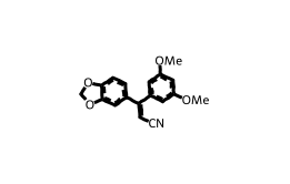 COc1cc(OC)cc(C(=CC#N)c2ccc3c(c2)OCO3)c1